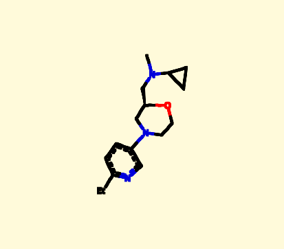 CCc1ccc(N2CCO[C@H](CN(C)C3CC3)C2)cn1